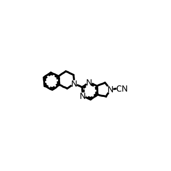 N#CN1Cc2cnc(N3CCc4ccccc4C3)nc2C1